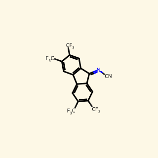 N#CN=C1c2cc(C(F)(F)F)c(C(F)(F)F)cc2-c2cc(C(F)(F)F)c(C(F)(F)F)cc21